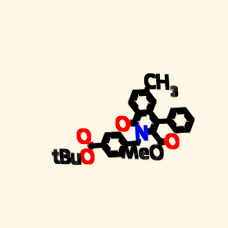 COC(=O)c1c(-c2ccccc2)c2cc(C)ccc2c(=O)n1Cc1ccc(C(=O)OC(C)(C)C)cc1